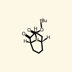 CC(C)(C)OC(=O)N1[C@H]2CCC[C@@H]1C(=O)NC2